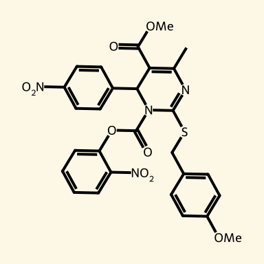 COC(=O)C1=C(C)N=C(SCc2ccc(OC)cc2)N(C(=O)Oc2ccccc2[N+](=O)[O-])C1c1ccc([N+](=O)[O-])cc1